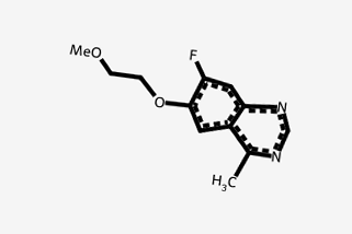 COCCOc1cc2c(C)ncnc2cc1F